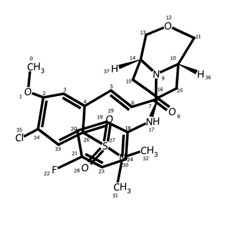 COc1cc(/C=C/C(=O)N2[C@@H]3COC[C@H]2C[C@H](Nc2ccc(F)cc2)C3)c(S(=O)(=O)N(C)C)cc1Cl